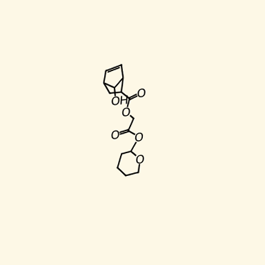 O=C(COC(=O)C1CC2C=CC1C2O)OC1CCCCO1